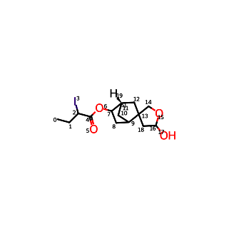 CCC(I)C(=O)OC1CC2C[C@H]1CC21COC(O)C1